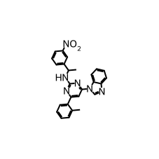 Cc1ccccc1-c1cc(-n2cnc3ccccc32)nc(NC(C)c2cccc([N+](=O)[O-])c2)n1